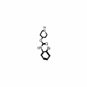 O=C(Nc1ccccc1Br)OC1CCNCC1